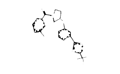 Cc1cccc(C(=O)N2CC[C@@H](Oc3cccc(-c4noc(C(F)(F)F)n4)c3)C2)c1